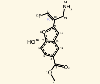 COC(=O)c1ccc2oc(/C(=C\F)CN)cc2c1.Cl